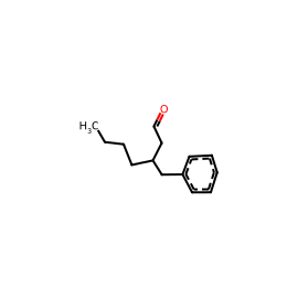 CCCCC(CC=O)Cc1ccccc1